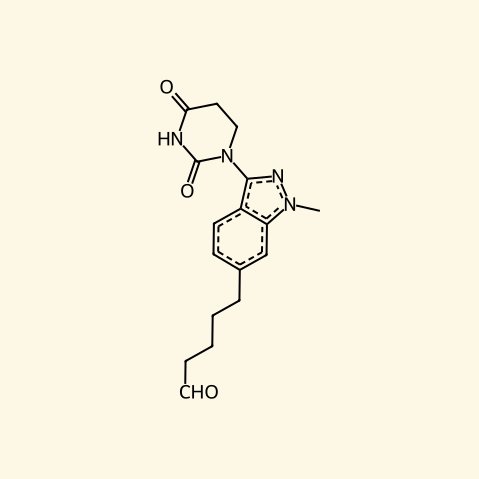 Cn1nc(N2CCC(=O)NC2=O)c2ccc(CCCCC=O)cc21